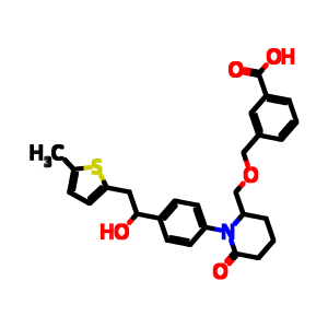 Cc1ccc(CC(O)c2ccc(N3C(=O)CCCC3COCc3cccc(C(=O)O)c3)cc2)s1